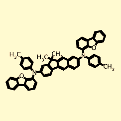 Cc1ccc(N(c2ccc3c(c2)C(C)(C)c2cc4cc(N(c5ccc(C)cc5)c5cccc6c5oc5ccccc56)ccc4cc2-3)c2cccc3c2oc2ccccc23)cc1